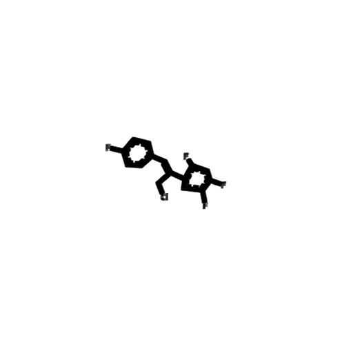 Fc1ccc(C=C(CCl)c2cc(F)c(F)cc2F)cc1